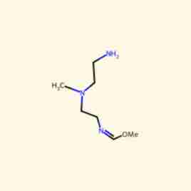 CO/C=N\CCN(C)CCN